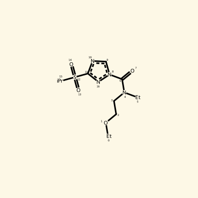 CCOCCN(CC)C(=O)n1cnc(S(=O)(=O)C(C)C)n1